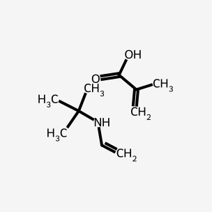 C=C(C)C(=O)O.C=CNC(C)(C)C